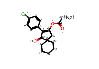 CCCCCCCC(=O)OC1=C(c2ccc(Cl)cc2)C(=O)C2(CCCCC2)C1